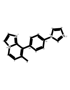 Cc1ccn2ccnc2c1-c1ccc(-n2ccnc2)cc1